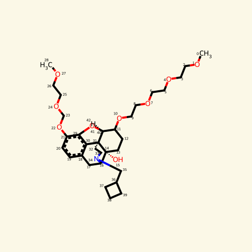 COCCOCCOCCOC1CC[C@@]2(O)C3Cc4ccc(OCOCCOC)c5c4[C@@]2(CCN3CC2CCC2)[C@H]1O5